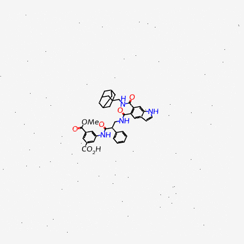 COC(=O)c1cc(NC(=O)C(CNC(=O)c2cc3cc[nH]c3cc2C(=O)NCC23CC4CC(CC(C4)C2)C3)c2ccccc2)cc(C(=O)O)c1